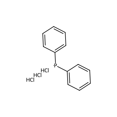 Cl.Cl.Cl.c1ccc([P]c2ccccc2)cc1